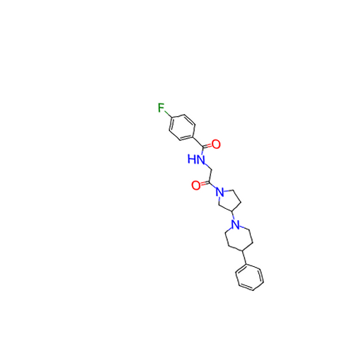 O=C(NCC(=O)N1CCC(N2CCC(c3ccccc3)CC2)C1)c1ccc(F)cc1